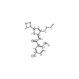 CCCCc1cn(C2CCC2)sc1=NC(=O)c1cc(Cl)ccc1OC